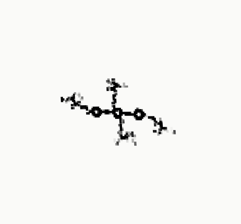 C=C(C)C(=C)OCCOc1cc(C#Cc2ccc(OCCOC(=O)C(=C)C)cc2)c(OCCOC(=O)C(=C)C)cc1C#Cc1ccc(OCCOC(=O)C(=C)C)cc1